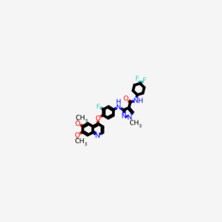 COc1cc2nccc(Oc3ccc(Nc4nn(C)cc4C(=O)NC4CCC(F)(F)CC4)cc3F)c2cc1OC